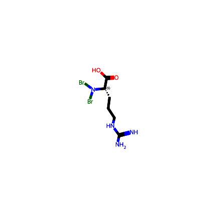 N=C(N)NCCC[C@@H](C(=O)O)N(Br)Br